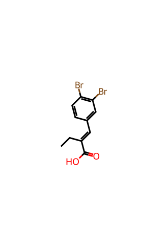 CC/C(=C\c1ccc(Br)c(Br)c1)C(=O)O